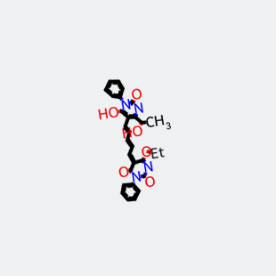 CCOC1=NC(=O)N(c2ccccc2)C(=O)C1=CC=CC=Cc1c(C(C)O)nc(=O)n(-c2ccccc2)c1O